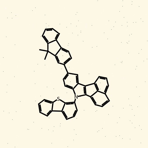 CC1(C)c2ccccc2-c2ccc(-c3ccc4c(c3)c3c(n4-c4cccc5c4sc4ccccc45)-c4cccc5cccc-3c45)cc21